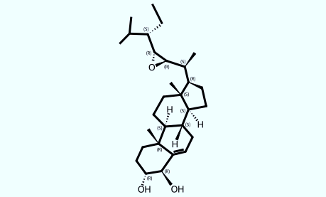 CC[C@@H](C(C)C)[C@H]1O[C@@H]1[C@@H](C)[C@H]1CC[C@H]2[C@@H]3CC=C4[C@@H](O)[C@H](O)CC[C@]4(C)[C@H]3CC[C@]12C